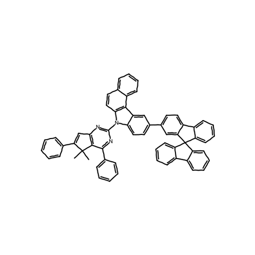 CC1(C)C(c2ccccc2)=Cc2nc(-n3c4ccc(-c5ccc6c(c5)C5(c7ccccc7-c7ccccc75)c5ccccc5-6)cc4c4c5ccccc5ccc43)nc(-c3ccccc3)c21